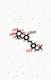 COc1cc(/C=C/c2cc(O)c3c(c2)OC(C)(C)CC3)cc2c1O[C@]1(C)C[C@@H](O)[C@@H](O)C(C)(C)[C@H]1C2